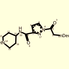 CCCCCCCCCCCC(=O)n1ccc(C(=O)NC2CCNCC2)n1